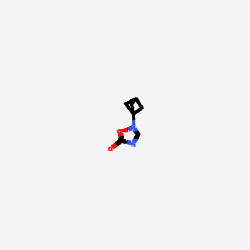 O=c1ncn(C23CC(C2)C3)o1